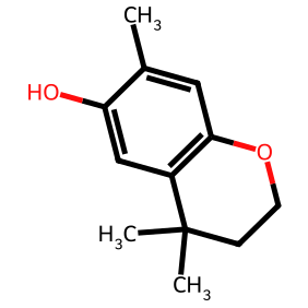 Cc1cc2c(cc1O)C(C)(C)CCO2